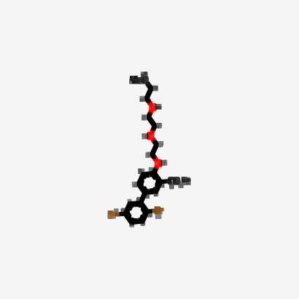 CCOC(=O)c1cc(-c2cc(Br)ccc2Br)ccc1OCCOCCOCCOC